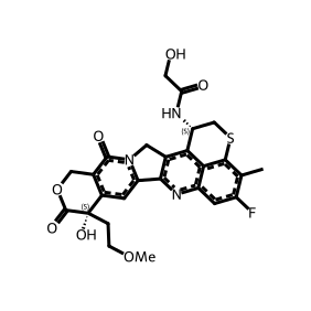 COCC[C@@]1(O)C(=O)OCc2c1cc1n(c2=O)Cc2c-1nc1cc(F)c(C)c3c1c2[C@H](NC(=O)CO)CS3